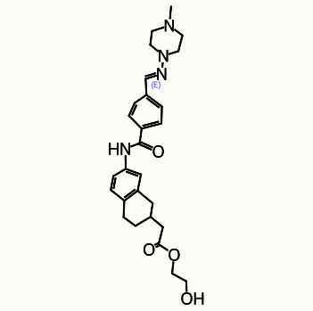 CN1CCN(/N=C/c2ccc(C(=O)Nc3ccc4c(c3)CC(CC(=O)OCCO)CC4)cc2)CC1